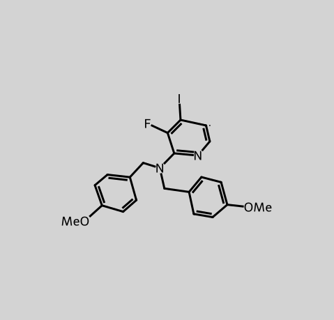 COc1ccc(CN(Cc2ccc(OC)cc2)c2nc[c]c(I)c2F)cc1